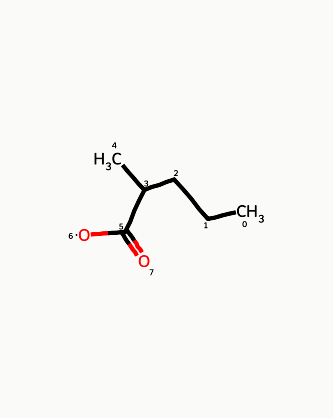 CCCC(C)C([O])=O